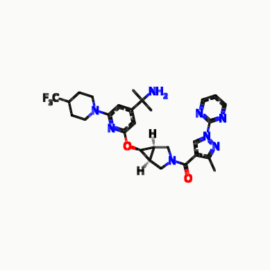 Cc1nn(-c2ncccn2)cc1C(=O)N1C[C@@H]2[C@H](C1)[C@@H]2Oc1cc(C(C)(C)N)cc(N2CCC(C(F)(F)F)CC2)n1